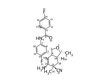 C[C@H]1OC[C@]2(c3cc(NC(=O)c4ccc(F)cn4)ccc3F)N=C(N)[C@](C)(C#N)C[C@H]12